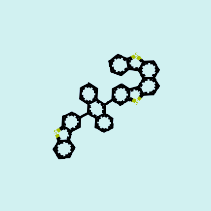 c1ccc2c(c1)sc1ccc(-c3c4ccccc4c(-c4ccc5c(c4)sc4ccc6ccc7sc8ccccc8c7c6c45)c4ccccc34)cc12